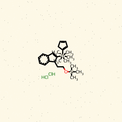 C[Si](C)(C)OCCC1[C]([Zr]([CH3])([CH3])([CH3])([CH3])([CH3])[C]2=CC=CC2)=Cc2ccccc21.Cl.Cl